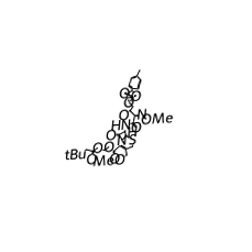 COCC1=C(C(=O)OCOC(=O)CC(C)(C)C)N2C(=O)C(NC(=O)/C(=N\OC)C(=O)COS(=O)(=O)c3ccc(C)cc3)[C@H]2SC1